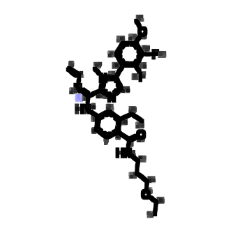 C=C/N=C(/Nc1ccc(C(=O)NCCCOCC)c(CC)c1)c1ncc(-c2ccc(OC)c(F)c2F)n1C